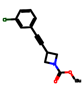 CC(C)(C)OC(=O)N1CC(C#Cc2cccc(Cl)c2)C1